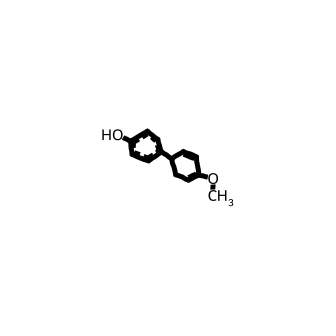 COC1=CCC(c2ccc(O)cc2)C=C1